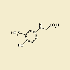 O=C(O)CNc1ccc(O)c(S(=O)(=O)O)c1